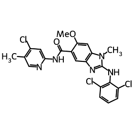 COc1cc2c(cc1C(=O)Nc1cc(Cl)c(C)cn1)nc(Nc1c(Cl)cccc1Cl)n2C